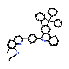 C=C/C=N\c1c(C)ccc2ccc(-c3ccc(-c4nc5ccccc5c5cc6c(cc45)-c4ccccc4C6(c4ccccc4)c4ccccc4)cc3)nc12